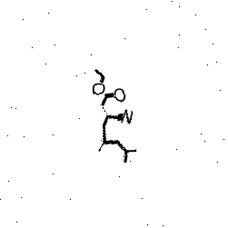 CCOC(=O)C[C@H](C#N)C[C@H](C)CC(C)C